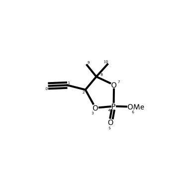 C#CC1OP(=O)(OC)OC1(C)C